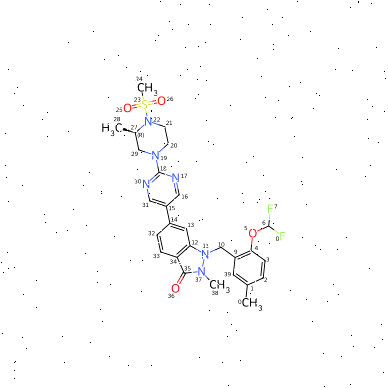 Cc1ccc(OC(F)F)c(Cn2c3cc(-c4cnc(N5CCN(S(C)(=O)=O)[C@H](C)C5)nc4)ccc3c(=O)n2C)c1